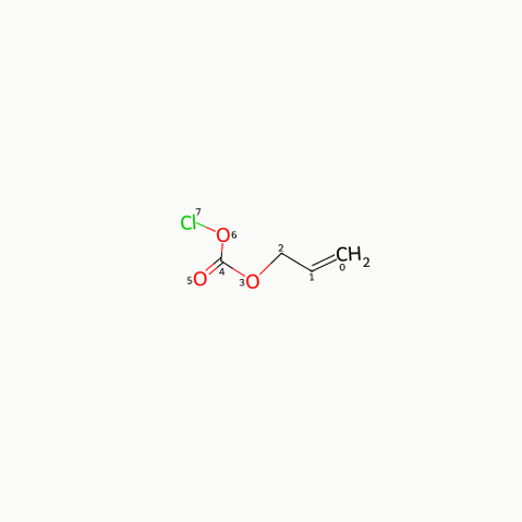 C=CCOC(=O)OCl